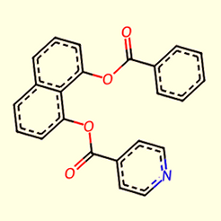 O=C(Oc1cccc2cccc(OC(=O)c3ccncc3)c12)c1ccccc1